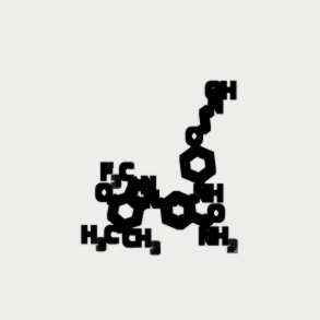 CC1(C)CC(=O)c2c(C(F)(F)F)nn(-c3ccc(C(N)=O)c(NC4CCC(OC/C=N/O)CC4)c3)c2C1